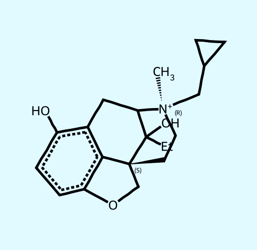 CCC1(O)C2Cc3c(O)ccc4c3[C@@]1(CC[N@+]2(C)CC1CC1)CO4